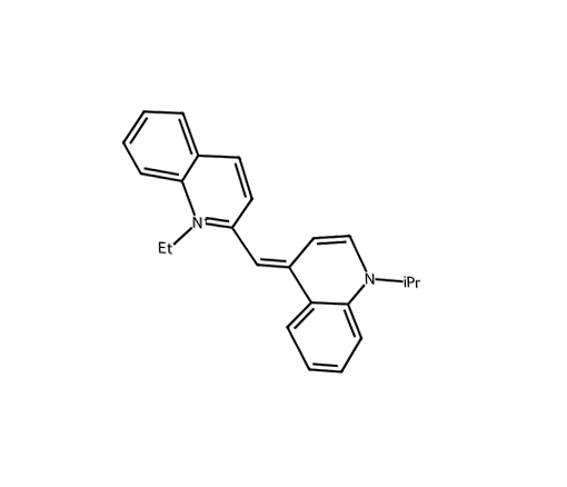 CC[n+]1c(/C=C2\C=CN(C(C)C)c3ccccc32)ccc2ccccc21